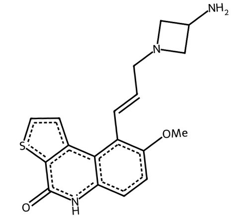 COc1ccc2[nH]c(=O)c3sccc3c2c1C=CCN1CC(N)C1